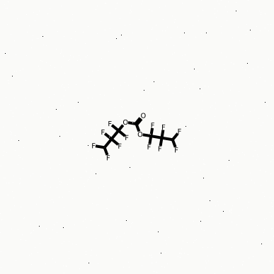 O=C(OC(F)(F)C(F)(F)C(F)F)OC(F)(F)C(F)(F)C(F)F